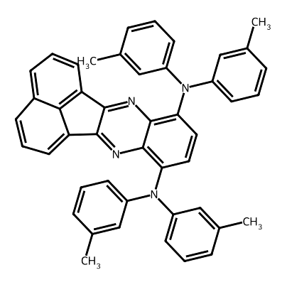 Cc1cccc(N(c2cccc(C)c2)c2ccc(N(c3cccc(C)c3)c3cccc(C)c3)c3nc4c(nc23)-c2cccc3cccc-4c23)c1